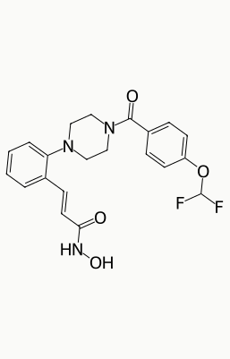 O=C(/C=C/c1ccccc1N1CCN(C(=O)c2ccc(OC(F)F)cc2)CC1)NO